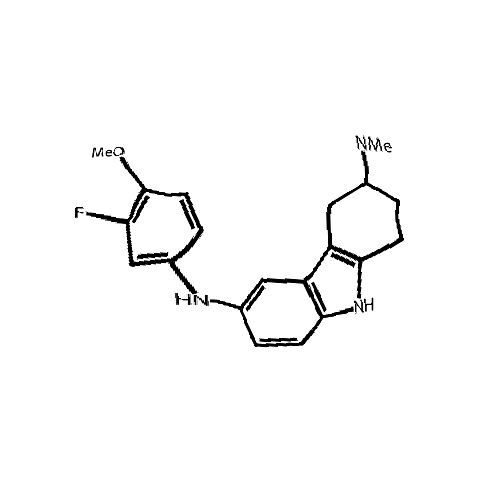 CNC1CCc2[nH]c3ccc(Nc4ccc(OC)c(F)c4)cc3c2C1